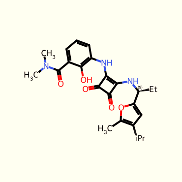 CC[C@H](Nc1c(Nc2cccc(C(=O)N(C)C)c2O)c(=O)c1=O)c1cc(C(C)C)c(C)o1